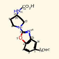 CCCCCCCCCCc1ccc2oc(N3CC[C@@H](NC(=O)O)C3)nc2c1